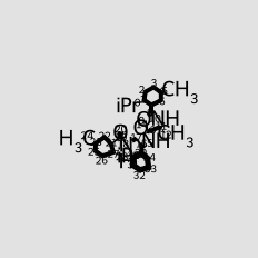 CC(C)[C@@H]1CC[C@@H](C)CC1C(=O)N[C@H](C)C(=O)N[C@H](CNC(=O)[C@@H]1C[C@H](C)CC[C@H]1C(C)C)c1ccccc1